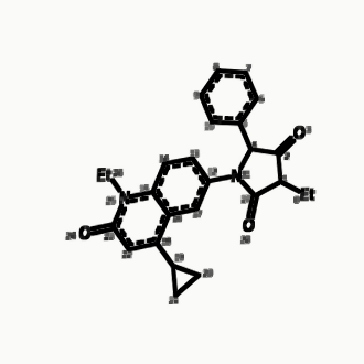 CCC1C(=O)C(c2ccccc2)N(c2ccc3c(c2)c(C2CC2)cc(=O)n3CC)C1=O